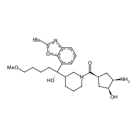 COCCCC[C@@](O)(c1cccc2nc(C(C)(C)C)oc12)C1CCCN(C(=O)[C@H]2C[C@@H](N)[C@@H](O)C2)C1